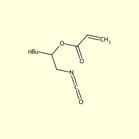 C=CC(=O)OC(CCCC)CN=C=O